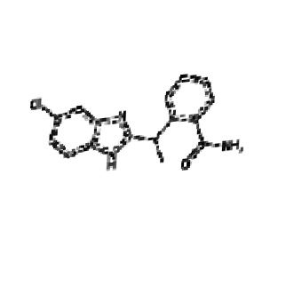 CC(c1nc2cc(Cl)ccc2[nH]1)c1ccccc1C(N)=O